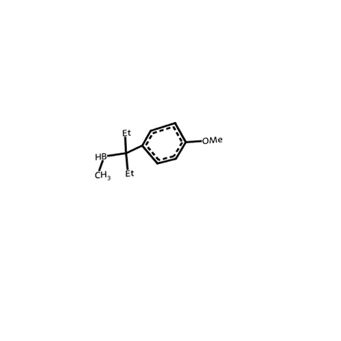 CBC(CC)(CC)c1ccc(OC)cc1